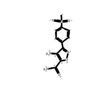 CS(=O)(=O)c1ccc(-c2noc(C(N)=O)c2N)cc1